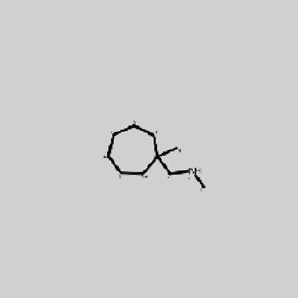 CNCC1(C)CCCCCC1